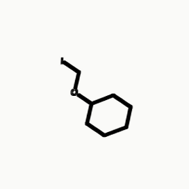 ICOC1CCCCC1